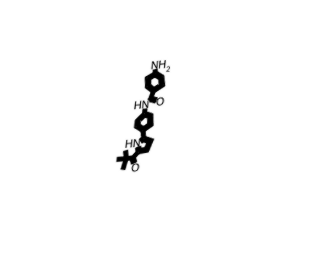 CC(C)(C)C(=O)c1ccc(-c2ccc(NC(=O)c3ccc(N)cc3)cc2)[nH]1